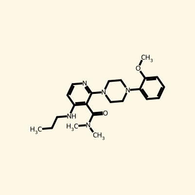 CCCNc1ccnc(N2CCN(c3ccccc3OC)CC2)c1C(=O)N(C)C